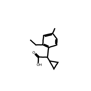 CCc1cc(C)ccc1C(C(=O)O)C1CC1